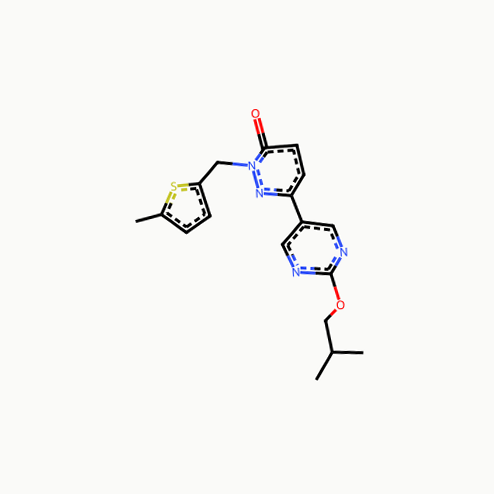 Cc1ccc(Cn2nc(-c3cnc(OCC(C)C)nc3)ccc2=O)s1